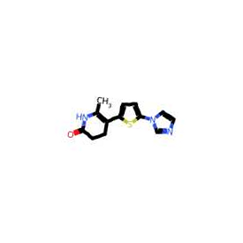 CC1=C(c2ccc(-n3ccnc3)s2)CCC(=O)N1